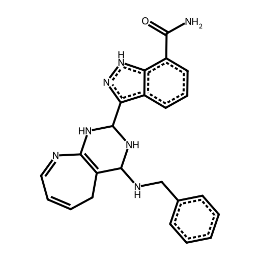 NC(=O)c1cccc2c(C3NC4=C(CC=CC=N4)C(NCc4ccccc4)N3)n[nH]c12